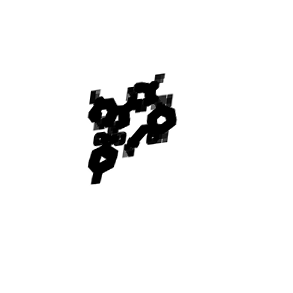 Cc1ccc(S(=O)(=O)n2cc(-c3ncc(F)c(NC4CCCC(O)(CC#N)C4)n3)c3cc(F)cnc32)cc1